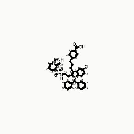 O=C(O)c1ccc(CCCc2c(CCNS(=O)(=O)C3=CC=CN4ONC=C34)n(C(c3ccccc3)c3ccccc3)c3ccc(Cl)cc23)cc1